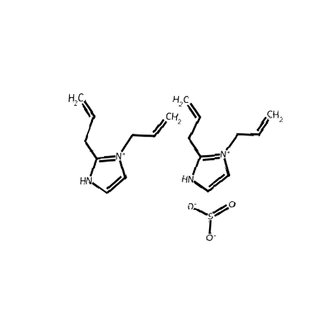 C=CCc1[nH]cc[n+]1CC=C.C=CCc1[nH]cc[n+]1CC=C.O=S([O-])[O-]